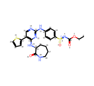 CCOC(=O)/N=[SH](=O)/c1ccc(Nc2ncc(-c3cccs3)c(N[C@H]3CCCCNC3=O)n2)cc1